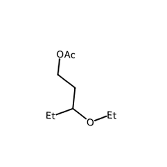 CCOC(CC)CCOC(C)=O